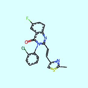 Cc1nc(C=Cc2nc3ccc(F)cc3c(=O)n2-c2ccccc2Cl)cs1